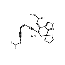 COC(=O)/C=C1\c2conc2C2(C[C@]1(C#C/C=C\C#CSP(I)I)OC(C)=O)OCCO2